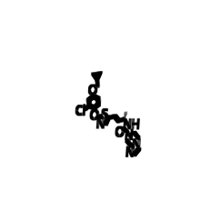 C[C@@H](/C=C/c1cnc(Oc2ccc(OCC3CC3)cc2Cl)s1)NC(=O)N1CCn2ccnc2C1